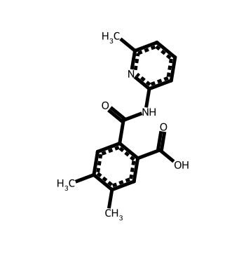 Cc1cccc(NC(=O)c2cc(C)c(C)cc2C(=O)O)n1